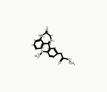 COC(=O)Cc1ccc(OC)c(C2=NCC(=O)Nc3ccccc32)c1